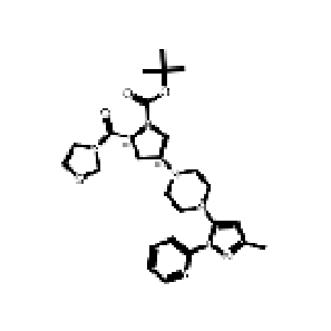 Cc1cc(N2CCN([C@H]3C[C@@H](C(=O)N4CCSC4)N(C(=O)OC(C)(C)C)C3)CC2)n(-c2ccccn2)n1